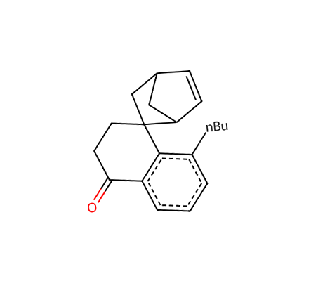 CCCCc1cccc2c1C1(CCC2=O)CC2C=CC1C2